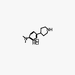 CN(C)c1ccc(C2CCNCC2)cc1.Cl.Cl